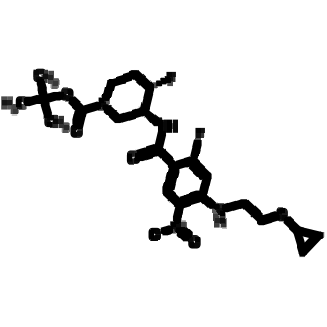 CC(C)(C)OC(=O)N1CC[C@H](F)[C@@H](NC(=O)c2cc([N+](=O)[O-])c(NCCOC3CC3)cc2F)C1